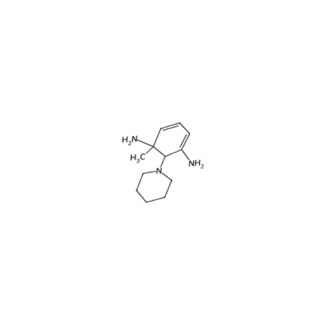 CC1(N)C=CC=C(N)C1N1CCCCC1